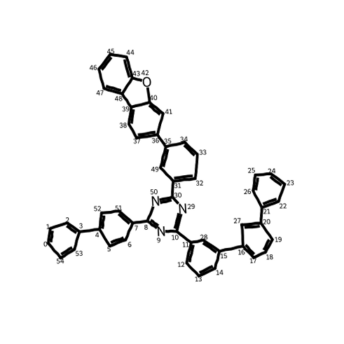 c1ccc(-c2ccc(-c3nc(-c4cccc(-c5cccc(-c6ccccc6)c5)c4)nc(-c4cccc(-c5ccc6c(c5)oc5ccccc56)c4)n3)cc2)cc1